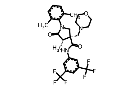 Cc1cccc(C)c1N1C[C@@](CN2CCOCC2)(C(=O)Nc2cc(C(F)(F)F)cc(C(F)(F)F)c2)[C@H](C)C1=O